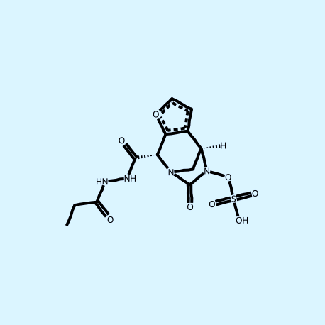 CCC(=O)NNC(=O)[C@@H]1c2occc2[C@@H]2CN1C(=O)N2OS(=O)(=O)O